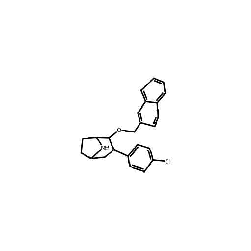 Clc1ccc(C2CC3CCC(N3)C2OCc2ccc3ccccc3c2)cc1